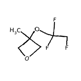 CC1(OC(F)(F)CF)COC1